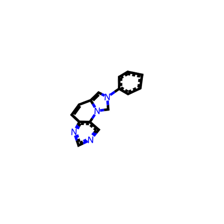 C1=Cc2ncncc2N2CN(c3ccccc3)C=C12